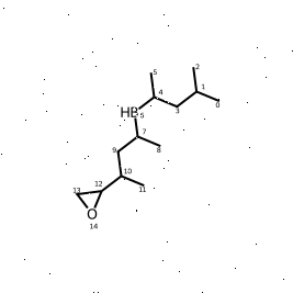 CC(C)CC(C)BC(C)CC(C)C1CO1